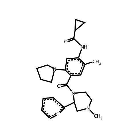 Cc1cc(C(=O)N2CCN(C)CC2c2ccccc2)c(N2CCCC2)cc1NC(=O)C1CC1